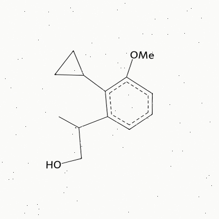 COc1cccc([C](C)CO)c1C1CC1